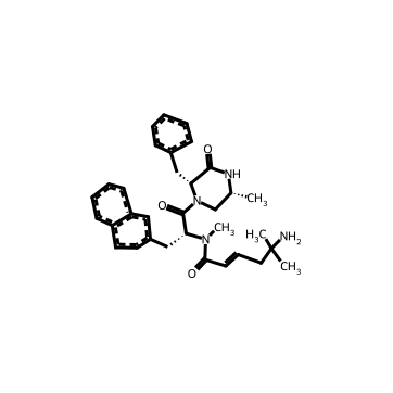 C[C@@H]1CN(C(=O)[C@@H](Cc2ccc3ccccc3c2)N(C)C(=O)/C=C/CC(C)(C)N)[C@H](Cc2ccccc2)C(=O)N1